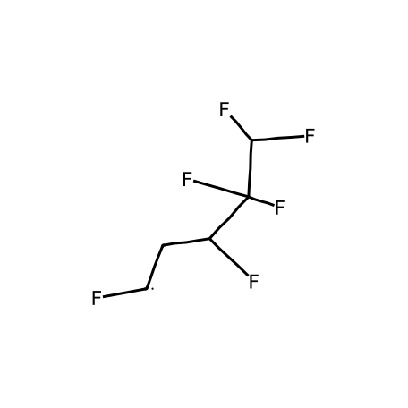 F[CH]CC(F)C(F)(F)C(F)F